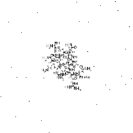 CC(=O)N[C@@H](CCC(N)=O)C(=O)N[C@@H](CCCNC(=N)N)C(=O)N[C@@H](CCCNC(=N)N)C(=O)N1CCC[C@H]1C(=O)N[C@@H](CCC(N)=O)C(=O)N[C@@H](CCCNC(=N)N)C(=O)N[C@@H](CCC(N)=O)C(=O)N[C@@H](CCCCN)C(N)=O